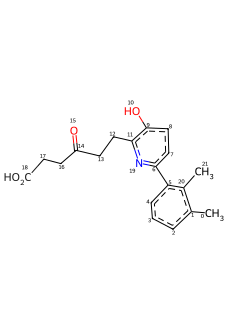 Cc1cccc(-c2ccc(O)c(CCC(=O)CCC(=O)O)n2)c1C